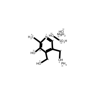 Cc1ncc(CO)c(CO)c1O.Cl.O=S(=O)(O)O.P.[MgH2]